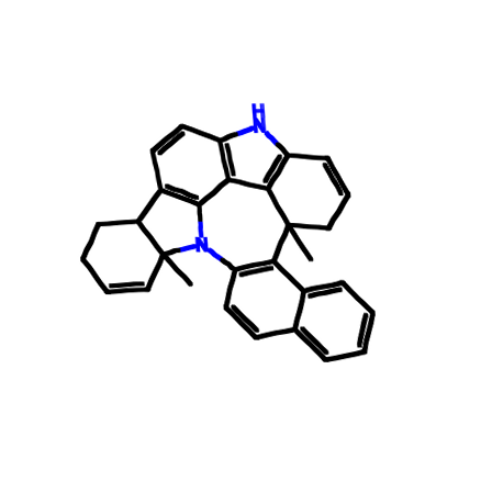 CC12CC=Cc3[nH]c4ccc5c(c4c31)N(c1ccc3ccccc3c12)C1(C)C=CCCC51